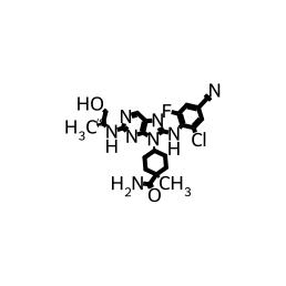 C[C@@H](CO)Nc1ncc2nc(Nc3c(F)cc(C#N)cc3Cl)n([C@H]3CC[C@@](C)(C(N)=O)CC3)c2n1